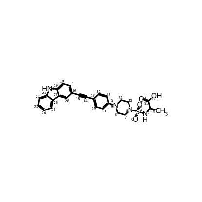 CC(NS(=O)(=O)N1CCN(c2ccc(C#Cc3ccc4[nH]c5ccccc5c4c3)cc2)CC1)C(=O)O